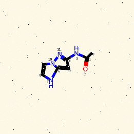 CC(=O)Nc1cc2[nH]ccn2n1